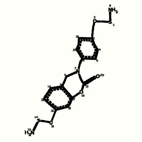 NSOc1ccc(N2Cc3ccc(OSN)cc3OC2=O)cc1